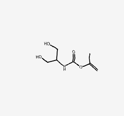 C=C(C)OC(=O)NC(CO)CO